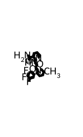 C[C@@H]1CC[C@@H](c2cc(F)c(F)c(F)c2)N(C(=O)C(=O)Nc2ncccc2C(N)=O)C1